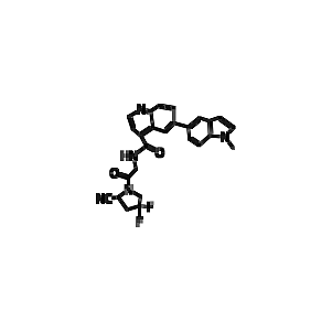 Cn1ccc2cc(-c3ccc4nccc(C(=O)NCC(=O)N5CC(F)(F)C[C@H]5C#N)c4c3)ccc21